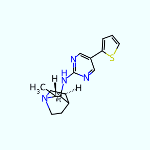 C[C@@H]1[C@@H](Nc2ncc(-c3cccs3)cn2)C2CCN1CC2